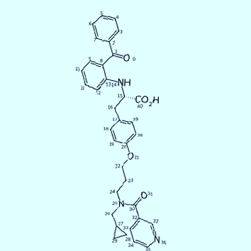 O=C(c1ccccc1)c1ccccc1N[C@@H](Cc1ccc(OCCCN(CC2CC2)C(=O)c2cccnc2)cc1)C(=O)O